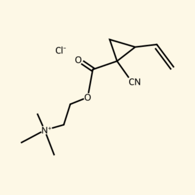 C=CC1CC1(C#N)C(=O)OCC[N+](C)(C)C.[Cl-]